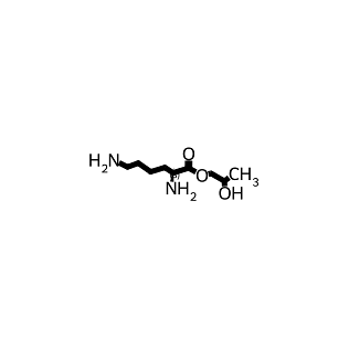 CC(O)COC(=O)[C@@H](N)CCCCN